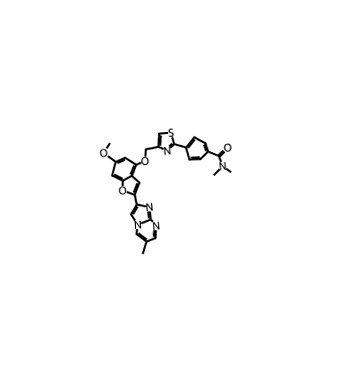 COc1cc(OCc2csc(-c3ccc(C(=O)N(C)C)cc3)n2)c2cc(-c3cn4cc(C)cnc4n3)oc2c1